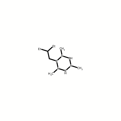 CCC(CC)CB1N(C)BN(C)BN1C